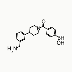 NCc1cccc(C2CCN(C(=O)c3ccc(BO)cc3)CC2)c1